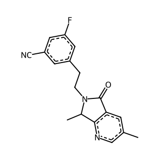 Cc1cnc2c(c1)C(=O)N(CCc1cc(F)cc(C#N)c1)C2C